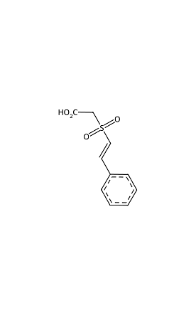 O=C(O)CS(=O)(=O)C=Cc1ccccc1